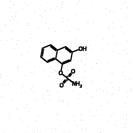 NS(=O)(=O)Oc1cc(O)cc2ccccc12